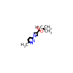 Cc1ccc(N2CC(C(=O)OC(C)(C)C)C2)nn1